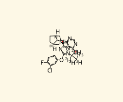 [2H]C([2H])([2H])C([2H])([2H])n1nc(NC2[C@@H]3CC[C@H]2CN(c2cc(C)ncn2)C3)nc1Oc1ccc(F)c(Cl)c1